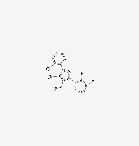 O=Cc1c(-c2cccc(F)c2F)nn(-c2ccccc2Cl)c1Br